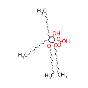 CCCCCCCCCCOc1c(CCCCCCCCC)c(CCCCCCCCC)c(O)c(OC(=O)O)c1OCCCCCCCCCC